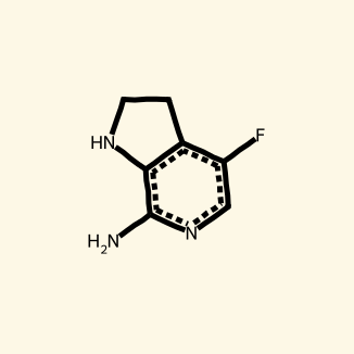 Nc1ncc(F)c2c1NCC2